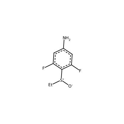 CC[S+]([O-])c1c(F)cc(N)cc1F